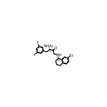 CCc1ccc2c(c1)[C@H](NCC(=O)[C@H](Cc1cc(F)cc(F)c1)NC(C)=O)CCC2